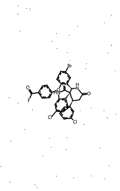 O=C1C[C@@H](c2cccc(Cl)c2)[C@]2(C(=O)Nc3cc(Cl)ccc32)[C@@H](c2cc(Br)ccc2Oc2ccc(C(=O)F)cc2)N1